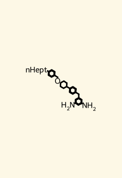 CCCCCCCc1ccc(COC2CCC(c3ccc(Cc4cc(N)cc(N)c4)cc3)CC2)cc1